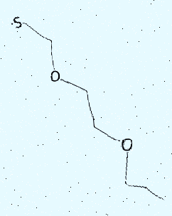 CCOCCOC[S]